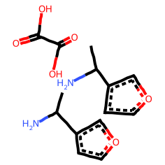 CC(N)c1ccoc1.CC(N)c1ccoc1.O=C(O)C(=O)O